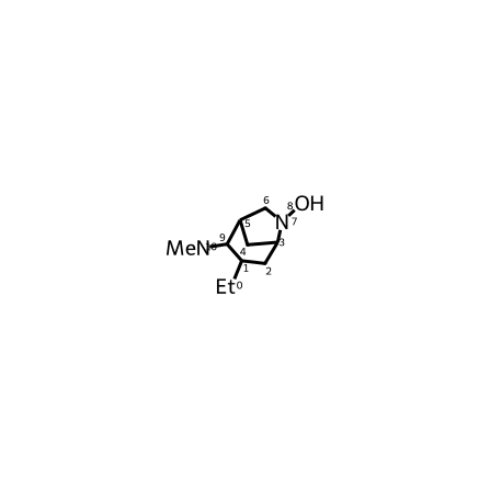 CCC1CC2CC(CN2O)C1NC